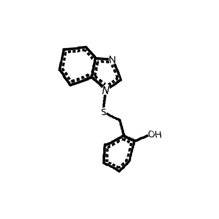 Oc1ccccc1CSn1cnc2ccccc21